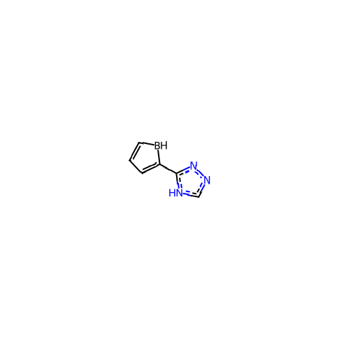 B1C=CC=C1c1nnc[nH]1